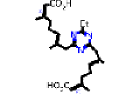 CCc1nc(CC(C)=CCC/C(C)=C\C(=O)O)nc(CC(C)=CCC/C(C)=C\C(=O)O)n1